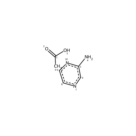 CC(=O)O.Nc1cnccn1